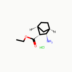 CCOC(=O)[C@@H]1[C@H]2CC[C@H](C2)[C@@H]1N.Cl